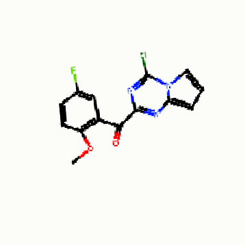 COc1ccc(F)cc1C(=O)c1nc(Cl)n2cccc2n1